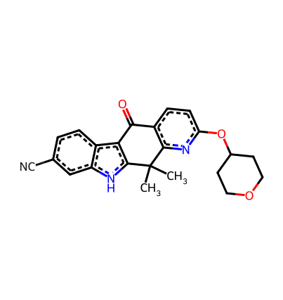 CC1(C)c2nc(OC3CCOCC3)ccc2C(=O)c2c1[nH]c1cc(C#N)ccc21